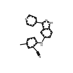 Cc1ccc(Nc2ccc3[nH]nc(-c4ccncc4)c3c2)c(C#N)c1